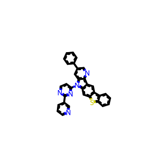 c1ccc(-c2cnc3c4cc5c(cc4n(-c4ccnc(-c6cccnc6)n4)c3c2)sc2ccccc25)cc1